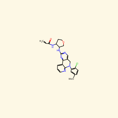 C=CC(=O)NC1CCOCC1Nc1ncc2c(n1)-c1cccnc1N(c1cc(OC)ccc1Cl)C2